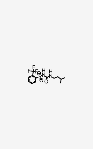 CC(C)CCNC(=O)NS(=O)(=O)c1ccccc1C(F)(F)F